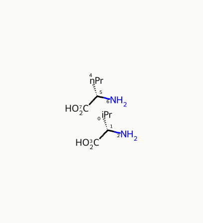 CC(C)[C@H](N)C(=O)O.CCC[C@H](N)C(=O)O